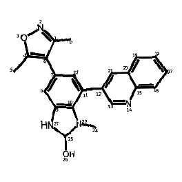 Cc1noc(C)c1-c1cc2c(c(-c3cnc4ccccc4c3)c1)N(C)C(O)N2